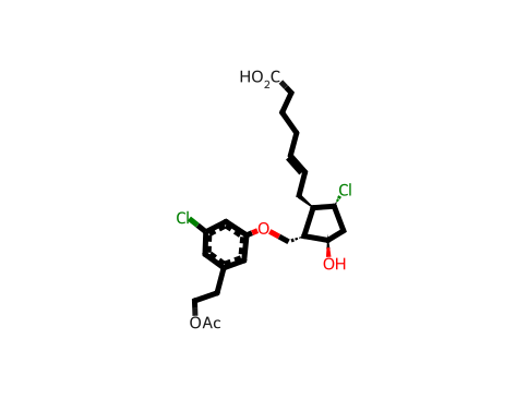 CC(=O)OCCc1cc(Cl)cc(OC[C@@H]2[C@@H](CC=CCCCC(=O)O)[C@H](Cl)C[C@H]2O)c1